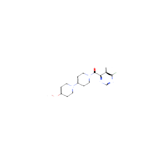 COC1CCN(C2CCN(C(=O)c3ncnc(Cl)c3C)CC2)CC1